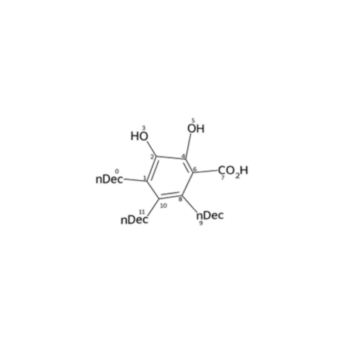 CCCCCCCCCCc1c(O)c(O)c(C(=O)O)c(CCCCCCCCCC)c1CCCCCCCCCC